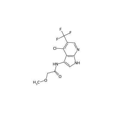 COCC(=O)Nc1c[nH]c2ncc(C(F)(F)F)c(Cl)c12